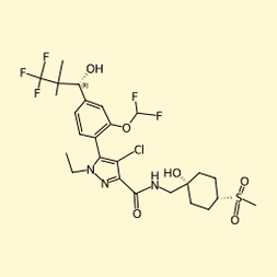 CCn1nc(C(=O)NC[C@]2(O)CC[C@@H](S(C)(=O)=O)CC2)c(Cl)c1-c1ccc([C@@H](O)C(C)(C)C(F)(F)F)cc1OC(F)F